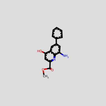 COC(=O)c1cc(O)c2cc(-c3ccccc3)cc(N)c2n1